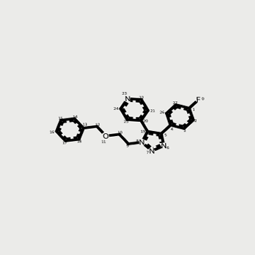 Fc1ccc(-c2nnn(CCOCc3ccccc3)c2-c2ccncc2)cc1